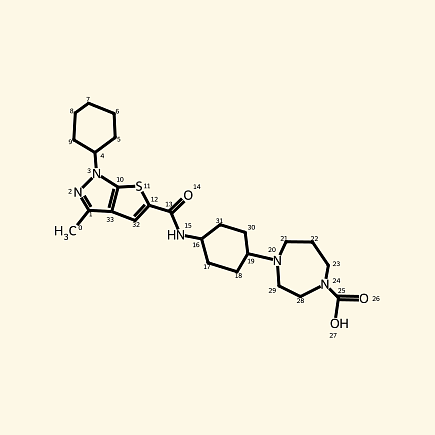 Cc1nn(C2CCCCC2)c2sc(C(=O)NC3CCC(N4CCCN(C(=O)O)CC4)CC3)cc12